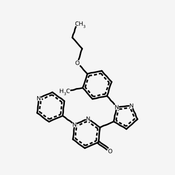 CCCOc1ccc(-n2nccc2-c2nn(-c3ccncc3)ccc2=O)cc1C